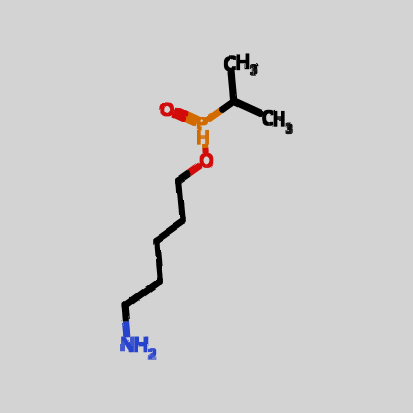 CC(C)[PH](=O)OCCCCCN